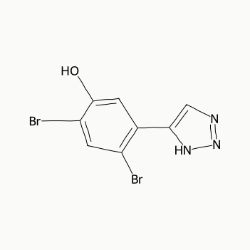 Oc1cc(-c2cnn[nH]2)c(Br)cc1Br